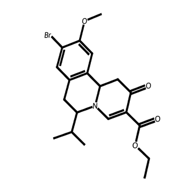 CCOC(=O)C1=CN2C(CC1=O)c1cc(OC)c(Br)cc1CC2C(C)C